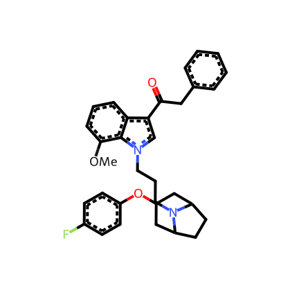 COc1cccc2c(C(=O)Cc3ccccc3)cn(CCCN3C4CCC3CC(Oc3ccc(F)cc3)C4)c12